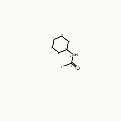 O=C(I)NC1CCCCC1